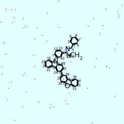 C=N/C(=N\Cc1ccccc1)c1cccc(-n2c3ccccc3c3cc(-c4ccc5oc6ccccc6c5c4)ccc32)c1